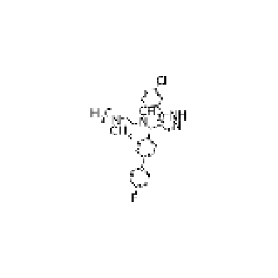 CN(C)CCN(C)C(c1ccc(-c2ccc(F)cc2)cc1)c1cn[nH]c1-c1cccc(Cl)c1